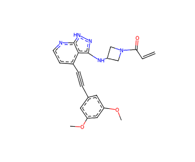 C=CC(=O)N1CC(Nc2n[nH]c3nccc(C#Cc4cc(OC)cc(OC)c4)c23)C1